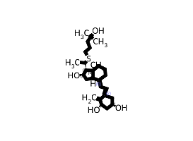 C=C1/C(=C\C=C2/CCC[C@@]3(C)[C@H]2C[C@@H](O)[C@@H]3C(C)SCCCC(C)(C)O)C[C@@H](O)C[C@@H]1O